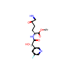 CC(C)OC(=O)[C@H](CCC(=O)C=N)NC(=O)[C@@H](O)c1cncc(F)c1